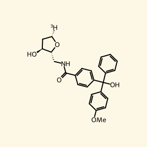 [3H][C@H]1C[C@H](O)[C@@H](CNC(=O)c2ccc(C(O)(c3ccccc3)c3ccc(OC)cc3)cc2)O1